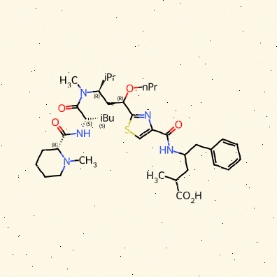 CCCO[C@H](C[C@H](C(C)C)N(C)C(=O)[C@@H](NC(=O)[C@H]1CCCCN1C)[C@@H](C)CC)c1nc(C(=O)NC(Cc2ccccc2)CC(C)C(=O)O)cs1